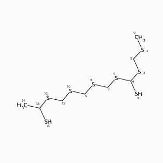 CSCSC(S)SCSCSCSC(C)S